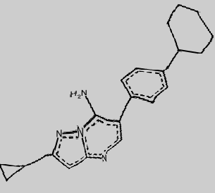 Nc1c(-c2ccc(C3CC[CH]CC3)cc2)cnc2cc(C3CC3)nn12